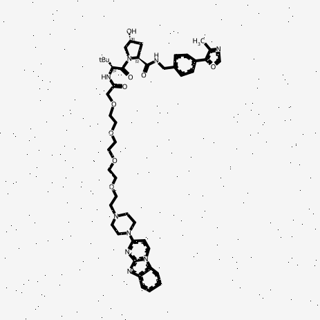 Cc1ncoc1-c1ccc(CNC(=O)[C@@H]2C[C@@H](O)CN2C(=O)[C@@H](NC(=O)COCCOCCOCCOCCN2CCN(c3ccn4c(n3)nc3ccccc34)CC2)C(C)(C)C)cc1